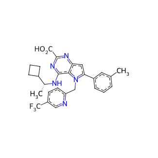 Cc1cccc(-c2cc3nc(C(=O)O)nc(N[C@H](C)C4CCC4)c3n2Cc2ccc(C(F)(F)F)cn2)c1